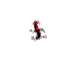 CN(C)C(=O)c1cc2c(cc1C=O)Oc1cc3c(cc1O2)C1(CC3(C)C)CC(C)(C)c2cc3oc4cc5c(=O)n(C)c(=O)c5cc4oc3cc21